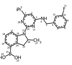 CC(C)c1cc(NCc2cccc(F)c2)nc(N2c3cccc(B(O)O)c3CC2C)n1